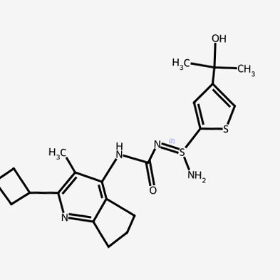 Cc1c(C2CCC2)nc2c(c1NC(=O)/N=S(\N)c1cc(C(C)(C)O)cs1)CCC2